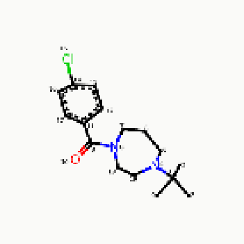 CC(C)(C)N1CCCN(C(=O)c2ccc(Cl)cc2)CC1